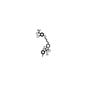 CN(C)C(=O)c1ccc(OCCCCC2CCN(C(=O)C(O)(c3cccc(F)c3)C(F)(F)F)CC2)cc1Cl